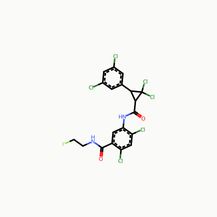 O=C(NCCF)c1cc(NC(=O)C2C(c3cc(Cl)cc(Cl)c3)C2(Cl)Cl)c(Cl)cc1Cl